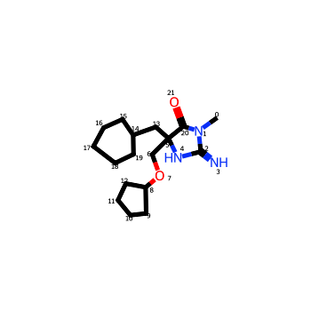 CN1C(=N)NC(COC2CCCC2)(CC2CCCCC2)C1=O